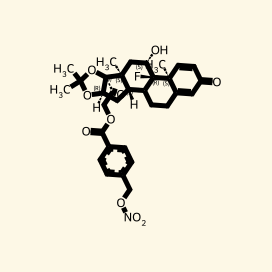 CC1(C)O[C@@H]2C[C@H]3C4CCC5=CC(=O)C=C[C@]5(C)[C@@]4(F)[C@@H](O)C[C@]3(C)[C@]2(C(=O)COC(=O)c2ccc(CO[N+](=O)[O-])cc2)O1